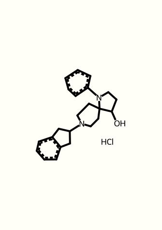 Cl.OC1CCN(c2ccccc2)C12CCN(C1Cc3ccccc3C1)CC2